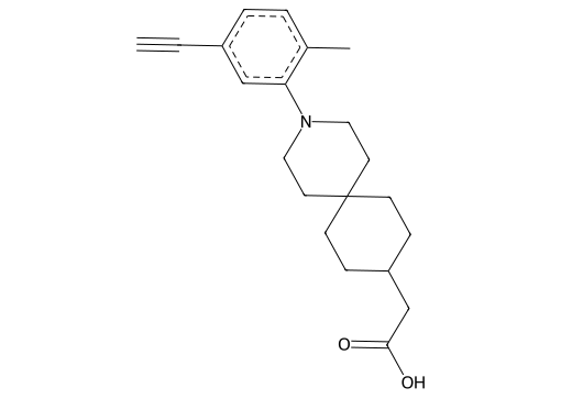 C#Cc1ccc(C)c(N2CCC3(CCC(CC(=O)O)CC3)CC2)c1